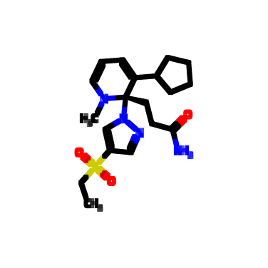 CCS(=O)(=O)c1cnn([C@@]2(CCC(N)=O)C(C3CCCC3)=CC=CN2C)c1